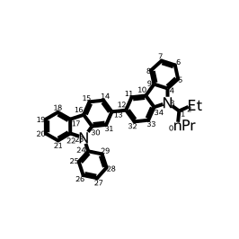 CCCC(CC)n1c2ccccc2c2cc(-c3ccc4c5ccccc5n(-c5ccccc5)c4c3)ccc21